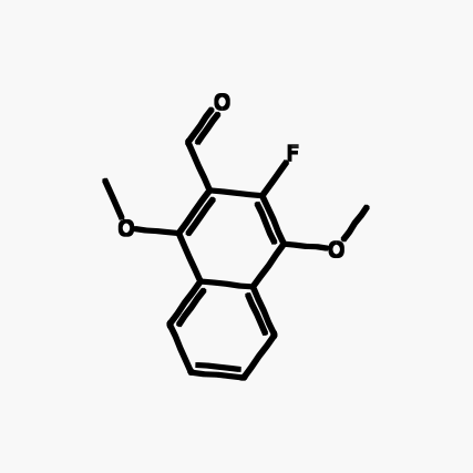 COc1c(F)c(C=O)c(OC)c2ccccc12